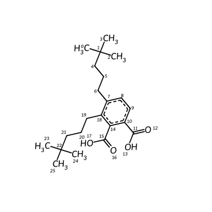 CC(C)(C)CCCc1ccc(C(=O)O)c(C(=O)O)c1CCCC(C)(C)C